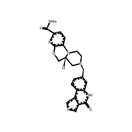 CNC(=O)c1ccc2c(n1)OC[C@H]1CN(Cc3ccc4c(c3)[nH]c(=O)c3cscc34)CCN21